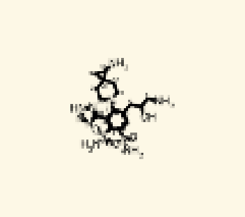 NCC(O)Cc1cc(S(N)(=O)=O)c(S(N)(=O)=O)c(-c2nn[nH]n2)c1N1CCC2(CC1)CC2N